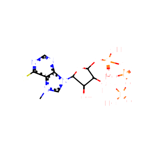 C[n+]1cn(C2OC(OP(=O)(O)OP(=O)(O)OP(=O)(O)O)C(O)C2O)c2ncnc(S)c21